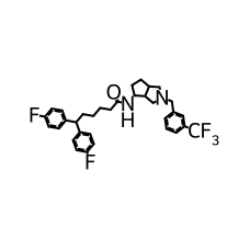 O=C(CCCCC(c1ccc(F)cc1)c1ccc(F)cc1)NC1CCC2CN(Cc3cccc(C(F)(F)F)c3)CC21